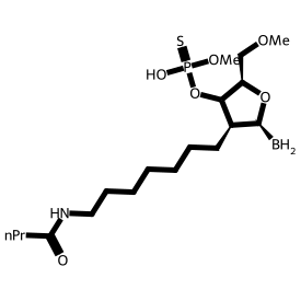 B[C@@H]1O[C@H](COC)C(OP(O)(=S)OC)[C@@H]1CCCCCCCNC(=O)CCC